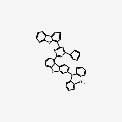 Cc1ccccc1N(c1ccccc1)c1ccc2c(c1)oc1cccc(-c3nc(-c4ccccc4)nc(-c4cccc5c4oc4ccccc45)n3)c12